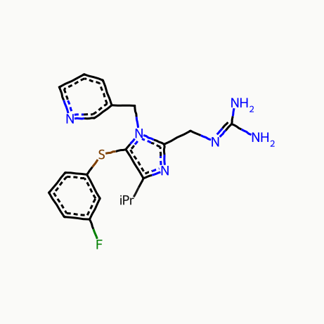 CC(C)c1nc(CN=C(N)N)n(Cc2cccnc2)c1Sc1cccc(F)c1